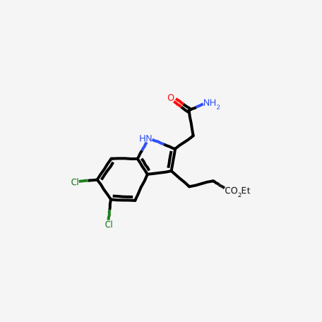 CCOC(=O)CCc1c(CC(N)=O)[nH]c2cc(Cl)c(Cl)cc12